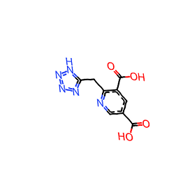 O=C(O)c1cnc(Cc2nnn[nH]2)c(C(=O)O)c1